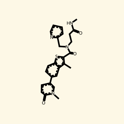 CNC(=O)CCN(Cc1ccccn1)C(=O)c1sc2ccc(-c3ccc(=O)n(C)c3)cc2c1C